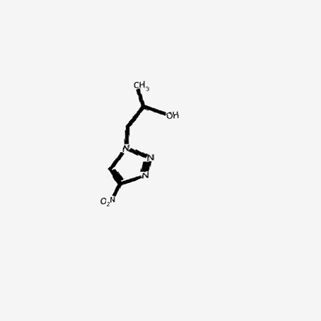 CC(O)Cn1cc([N+](=O)[O-])nn1